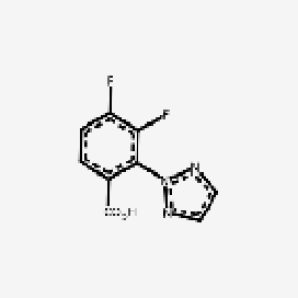 O=C(O)c1ccc(F)c(F)c1-n1nccn1